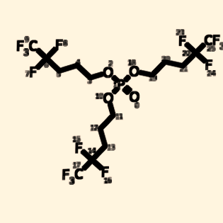 O=P(OCCCC(F)(F)C(F)(F)F)(OCCCC(F)(F)C(F)(F)F)OCCCC(F)(F)C(F)(F)F